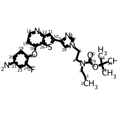 CCCN(CCn1cnc(-c2cc3nccc(Oc4ccc(N)cc4F)c3s2)c1)C(=O)OC(C)(C)C